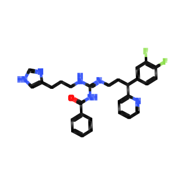 O=C(NC(=NCCC(c1ccc(F)c(F)c1)c1ccccn1)NCCCc1c[nH]cn1)c1ccccc1